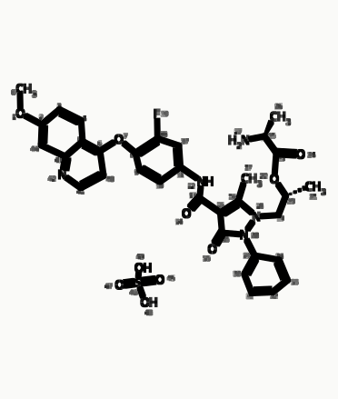 COc1ccc2c(Oc3ccc(NC(=O)c4c(C)n(C[C@@H](C)OC(=O)[C@H](C)N)n(-c5ccccc5)c4=O)cc3F)ccnc2c1.O=S(=O)(O)O